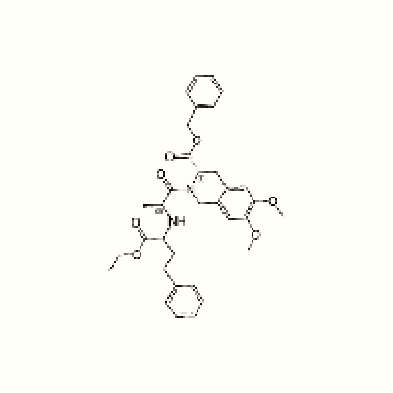 CCOC(=O)C(CCc1ccccc1)N[C@@H](C)C(=O)N1Cc2cc(OC)c(OC)cc2C[C@H]1C(=O)OCc1ccccc1